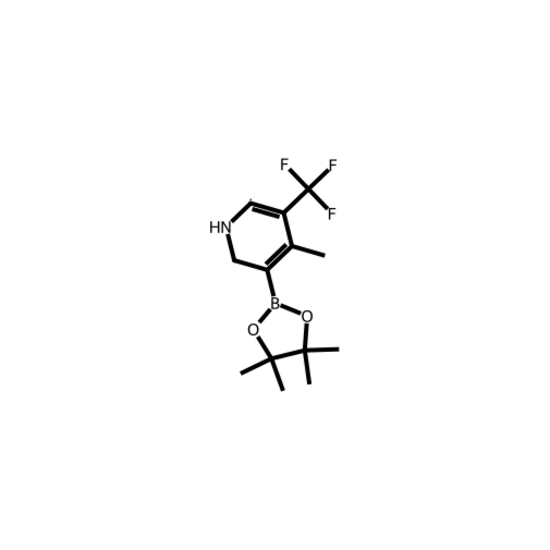 CC1=C(B2OC(C)(C)C(C)(C)O2)CN[C]=C1C(F)(F)F